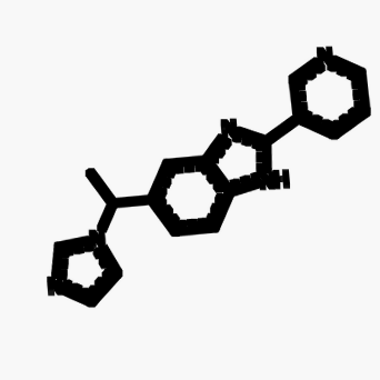 CC(c1ccc2[nH]c(-c3cccnc3)nc2c1)n1ccnc1